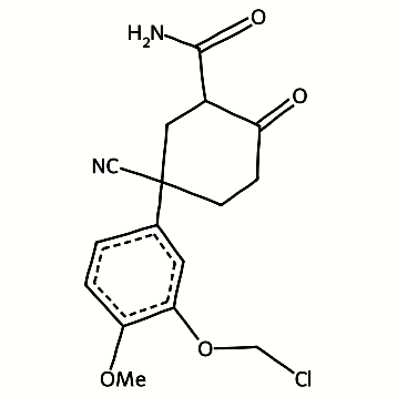 COc1ccc(C2(C#N)CCC(=O)C(C(N)=O)C2)cc1OCCl